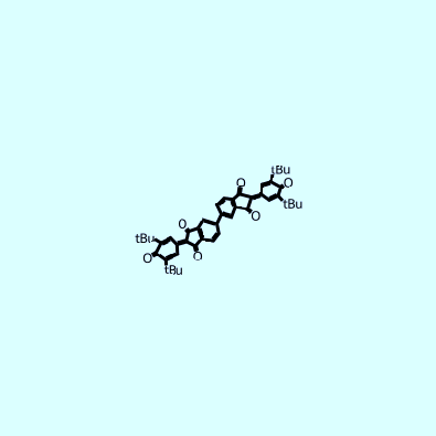 CC(C)(C)C1=CC(=C2C(=O)c3ccc(-c4ccc5c(c4)C(=O)C(=C4C=C(C(C)(C)C)C(=O)C(C(C)(C)C)=C4)C5=O)cc3C2=O)C=C(C(C)(C)C)C1=O